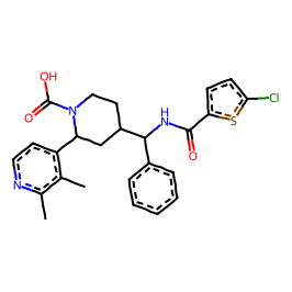 Cc1nccc(C2CC(C(NC(=O)c3ccc(Cl)s3)c3ccccc3)CCN2C(=O)O)c1C